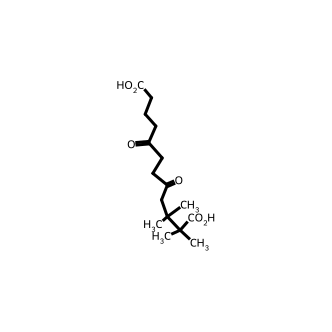 CC(C)(CC(=O)CCC(=O)CCCC(=O)O)C(C)(C)C(=O)O